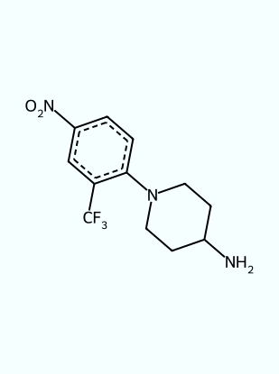 NC1CCN(c2ccc([N+](=O)[O-])cc2C(F)(F)F)CC1